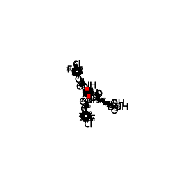 O=C(COc1ccc(Cl)c(F)c1)NC12CCC(NC(=O)COc3ccc(Cl)c(F)c3)(CC1)[C@@H](OC(=O)CCCCOP(=O)(O)O)C2